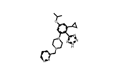 CC(C)Oc1cc(C2CC2)c(-c2nn[nH]n2)c(N2CCN(Cc3cccnn3)CC2)c1